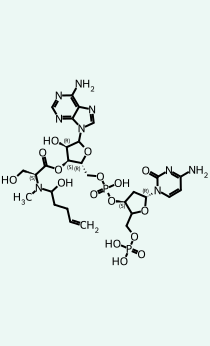 C=CCCC(O)N(C)[C@@H](CO)C(=O)O[C@@H]1[C@@H](COP(=O)(O)O[C@H]2C[C@H](n3ccc(N)nc3=O)OC2COP(=O)(O)O)OC(n2cnc3c(N)ncnc32)[C@@H]1O